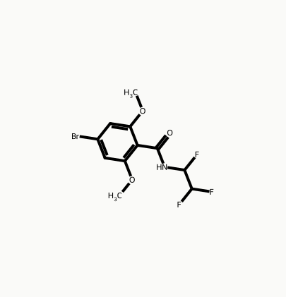 COc1cc(Br)cc(OC)c1C(=O)NC(F)C(F)F